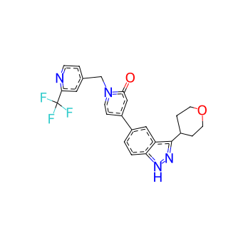 O=c1cc(-c2ccc3[nH]nc(C4CCOCC4)c3c2)ccn1Cc1ccnc(C(F)(F)F)c1